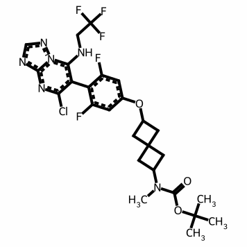 CN(C(=O)OC(C)(C)C)C1CC2(CC(Oc3cc(F)c(-c4c(Cl)nc5ncnn5c4NCC(F)(F)F)c(F)c3)C2)C1